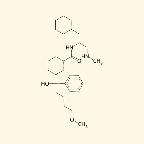 CNCC(CC1CCCCC1)NC(=O)C1CCCC(C(O)(CCCCOC)c2ccccc2)C1